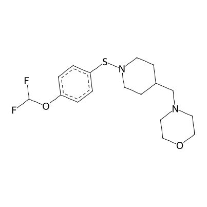 FC(F)Oc1ccc(SN2CCC(CN3CCOCC3)CC2)cc1